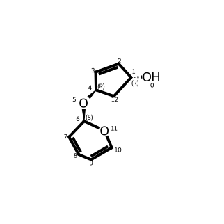 O[C@H]1C=C[C@H](O[C@@H]2C=CC=CO2)C1